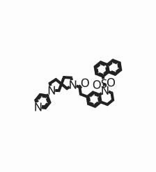 O=C(Cc1ccc2c(c1)N(S(=O)(=O)c1cccc3ccccc13)CCC2)N1CCC2(CCN(c3ccncc3)C2)C1